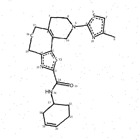 Cc1csc(N2CCC3=C(C2)c2sc(C(=O)NC4CC=CCC4)nc2CCC3)n1